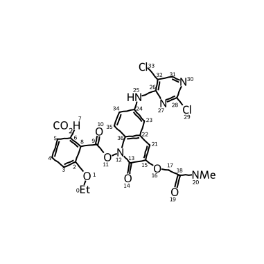 CCOc1cccc(C(=O)O)c1C(=O)On1c(=O)c(OCC(=O)NC)cc2cc(Nc3nc(Cl)ncc3Cl)ccc21